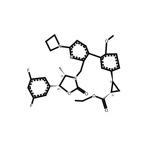 CCOC(=O)[C@H]1C[C@@H]1c1ccc(OC)c(-c2ccc(N3CCC3)nc2CN2C(=O)O[C@H](c3cc(F)cc(F)c3)[C@@H]2C)c1